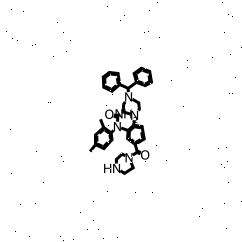 Cc1ccc(N(C(N)=O)c2cc(C(=O)N3CCNCC3)ccc2N2CCN(C(c3ccccc3)c3ccccc3)CC2)c(C)c1